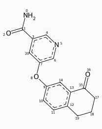 NC(=O)c1cncc(Oc2ccc3c(c2)C(=O)CCC3)c1